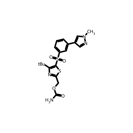 Cn1cc(-c2cccc(S(=O)(=O)c3sc(COC(N)=O)nc3C(C)(C)C)c2)cn1